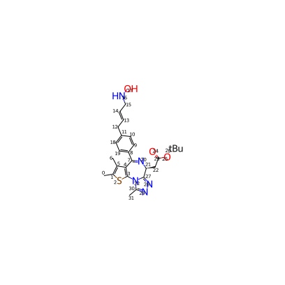 Cc1sc2c(c1C)C(c1ccc(CC=CCNO)cc1)=N[C@@H](CC(=O)OC(C)(C)C)c1nnc(C)n1-2